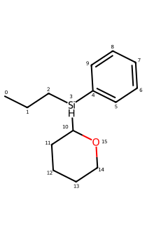 CCC[SiH](c1ccccc1)C1CCCCO1